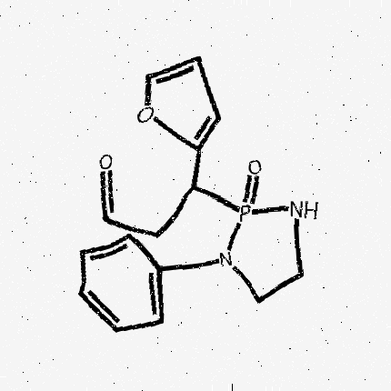 O=CCC(c1ccco1)P1(=O)NCCN1c1ccccc1